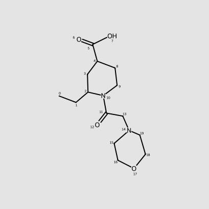 CCC1CC(C(=O)O)CCN1C(=O)CN1CCOCC1